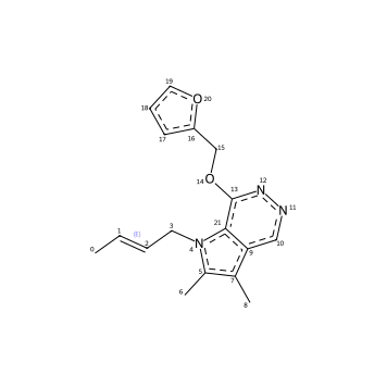 C/C=C/Cn1c(C)c(C)c2cnnc(OCc3ccco3)c21